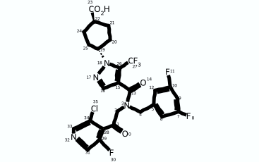 O=C(CN(Cc1cc(F)cc(F)c1)C(=O)c1cnn([C@H]2CC[C@H](C(=O)O)CC2)c1C(F)(F)F)c1c(F)cncc1Cl